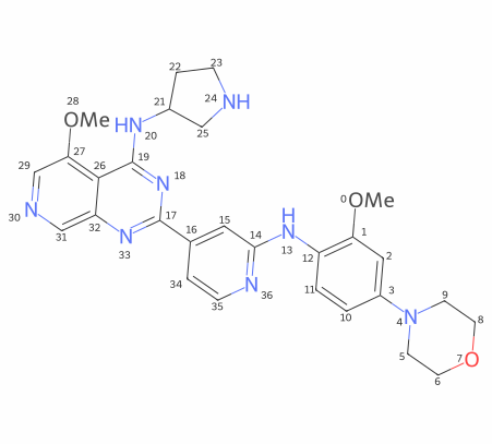 COc1cc(N2CCOCC2)ccc1Nc1cc(-c2nc(NC3CCNC3)c3c(OC)cncc3n2)ccn1